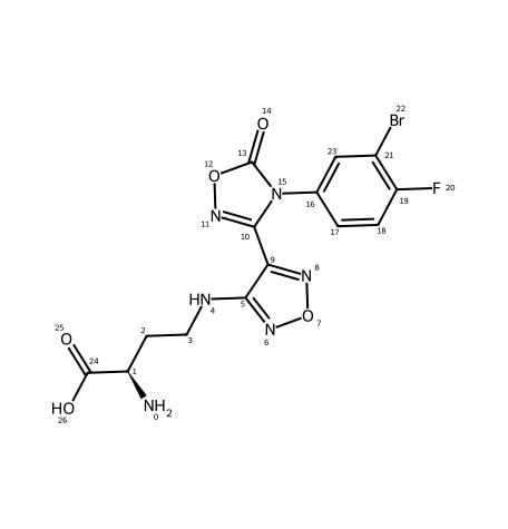 N[C@H](CCNc1nonc1-c1noc(=O)n1-c1ccc(F)c(Br)c1)C(=O)O